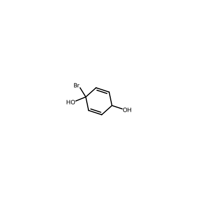 OC1C=CC(O)(Br)C=C1